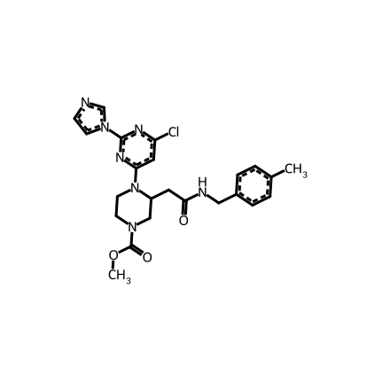 COC(=O)N1CCN(c2cc(Cl)nc(-n3ccnc3)n2)C(CC(=O)NCc2ccc(C)cc2)C1